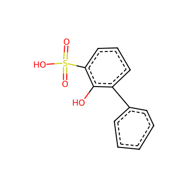 O=S(=O)(O)c1cccc(-c2ccccc2)c1O